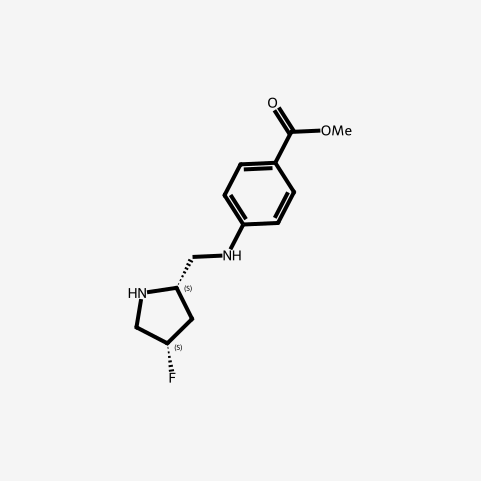 COC(=O)c1ccc(NC[C@@H]2C[C@H](F)CN2)cc1